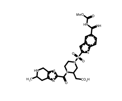 COC(=O)NC(=N)c1ccc2sc(S(=O)(=O)N3CCN(C(=O)c4nc5c(s4)CNC(C)C5)C(CC(=O)O)C3)cc2c1